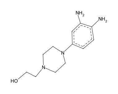 Nc1ccc(N2CCN(CCO)CC2)cc1N